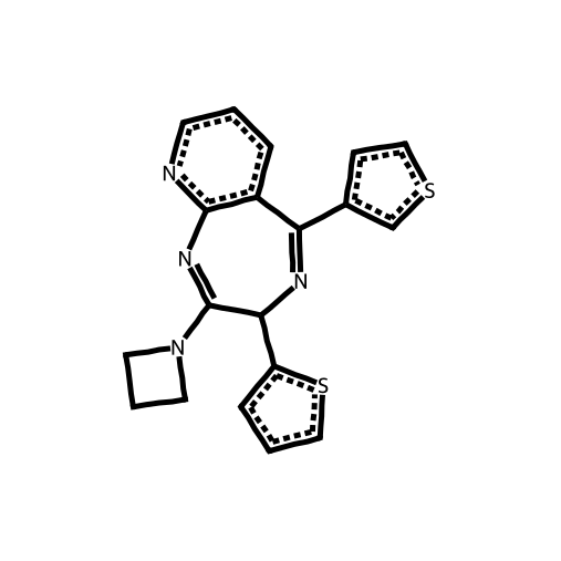 c1csc(C2N=C(c3ccsc3)c3cccnc3N=C2N2CCC2)c1